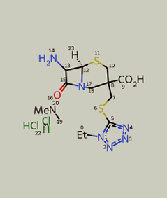 CCn1nnnc1SCC1(C(=O)O)CS[C@@H]2C(N)C(=O)N2C1.CNC.Cl.Cl